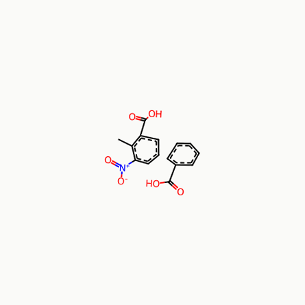 Cc1c(C(=O)O)cccc1[N+](=O)[O-].O=C(O)c1ccccc1